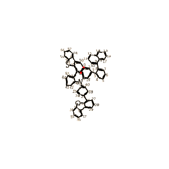 c1cc(-c2ccccc2-c2cccc3ccccc23)cc(N(c2ccc(-c3cccc4c3oc3ccccc34)cc2)c2ccccc2-c2cccc3c2sc2ccccc23)c1